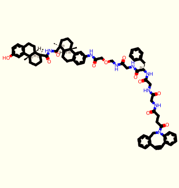 C[C@]1(C(=O)NC(=O)[C@@]2(C)CCC[C@]3(C)c4cc(NC(=O)COCNC(=O)CNC(=O)[C@H](Cc5ccccc5)NC(=O)CNC(=O)CNC(=O)CCC(=O)N5Cc6ccccc6C#Cc6ccccc65)ccc4CC[C@@H]23)CCC[C@]2(C)c3cc(O)ccc3CC[C@@H]12